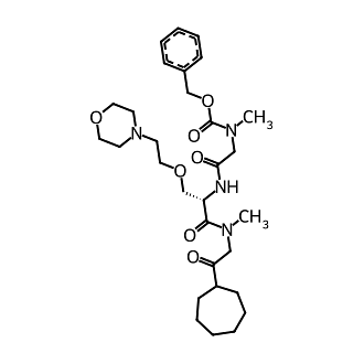 CN(CC(=O)N[C@@H](COCCN1CCOCC1)C(=O)N(C)CC(=O)C1CCCCCC1)C(=O)OCc1ccccc1